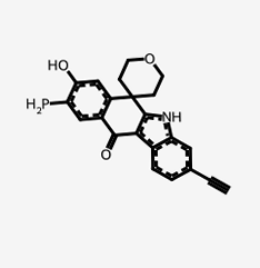 C#Cc1ccc2c3c([nH]c2c1)C1(CCOCC1)c1cc(O)c(P)cc1C3=O